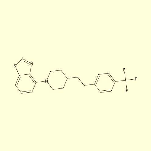 FC(F)(F)c1ccc(CCC2CCN(c3cccc4s[c]nc34)CC2)cc1